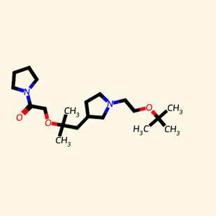 CC(C)(C)OCCN1CCC(CC(C)(C)OCC(=O)N2CCCC2)C1